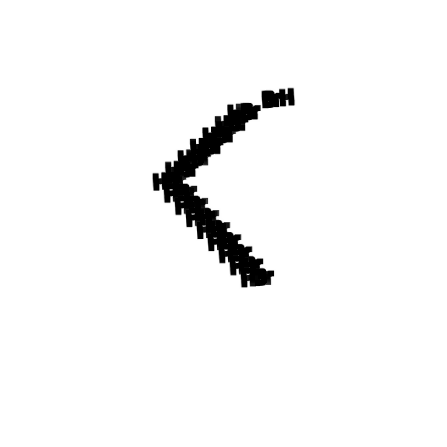 Br.Br.Br.Br.Br.Br.Br.Br.Br.Br.Br.Br.Br.Br.Br.Br